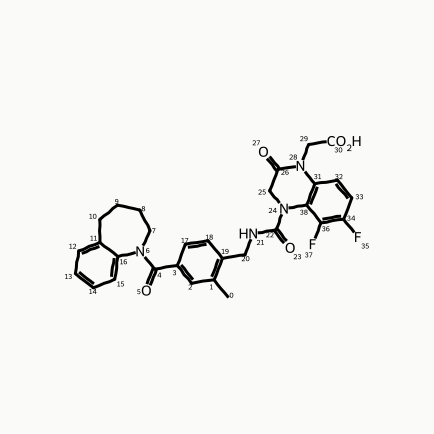 Cc1cc(C(=O)N2CCCCc3ccccc32)ccc1CNC(=O)N1CC(=O)N(CC(=O)O)c2ccc(F)c(F)c21